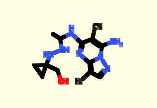 CCc1cnn2c(N)c(C#N)c(NC(C)NNC3(CO)CC3)nc12